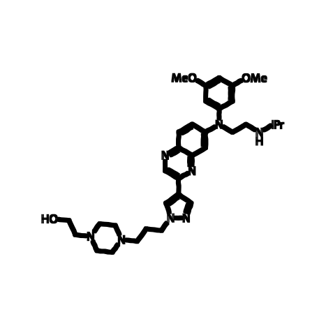 COc1cc(OC)cc(N(CCNC(C)C)c2ccc3ncc(-c4cnn(CCCN5CCN(CCO)CC5)c4)nc3c2)c1